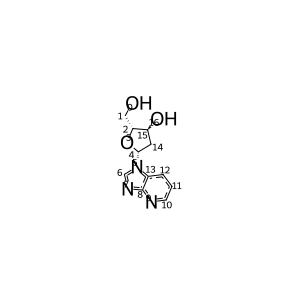 OC[C@H]1O[C@@H](n2cnc3ncccc32)C[C@@H]1O